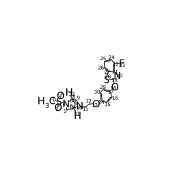 CS(=O)(=O)N1C[C@@H]2C[C@H]1CN2CCOc1ccc(Oc2nc3c(F)cccc3s2)cc1